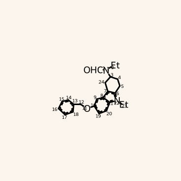 CCN(C=O)C1CCc2c(c3cc(OCc4ccccc4)ccc3n2CC)C1